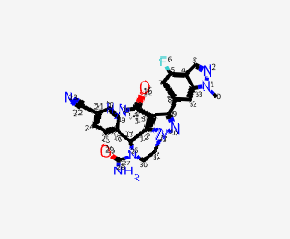 Cn1ncc2c(F)cc(-c3nn4c(c3C(N)=O)C(c3ccc(C#N)cc3)N(C(N)=O)CC4)cc21